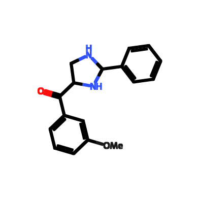 COc1cccc(C(=O)C2CNC(c3ccccc3)N2)c1